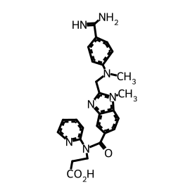 CN(Cc1nc2cc(C(=O)N(CCC(=O)O)c3ccccn3)ccc2n1C)c1ccc(C(=N)N)cc1